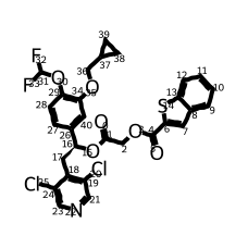 O=C(COC(=O)c1cc2ccccc2s1)O[C@@H](Cc1c(Cl)cncc1Cl)c1ccc(OC(F)F)c(OCC2CC2)c1